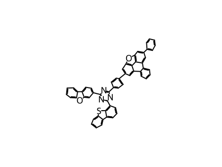 c1ccc(-c2cc3oc4cc(-c5ccc(-c6nc(-c7ccc8c(c7)oc7ccccc78)nc(-c7cccc8c7sc7ccccc78)n6)cc5)cc5c6ccccc6c(c2)c3c45)cc1